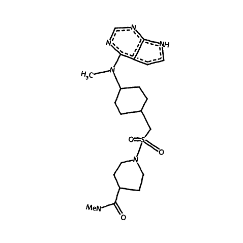 CNC(=O)C1CCN(S(=O)(=O)CC2CCC(N(C)c3ncnc4[nH]ccc34)CC2)CC1